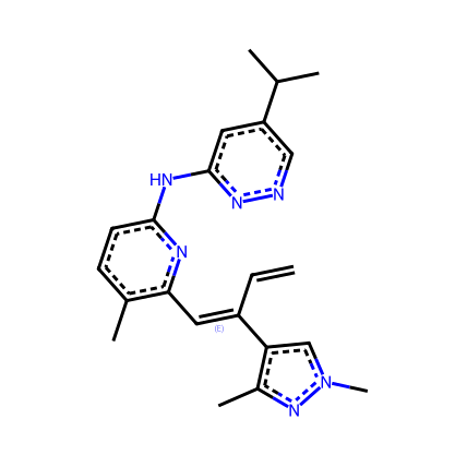 C=C/C(=C\c1nc(Nc2cc(C(C)C)cnn2)ccc1C)c1cn(C)nc1C